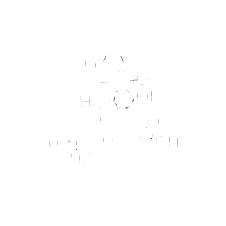 COC1=CC=CC2C(=O)c3c(O)c4c(c(O)c3C(=O)C12)C(OC1CC(N)C(O)C(C)O1)CC(O)(C(=O)CO)C4